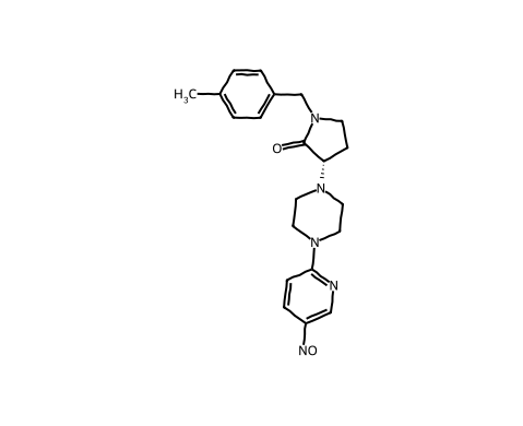 Cc1ccc(CN2CC[C@H](N3CCN(c4ccc(N=O)cn4)CC3)C2=O)cc1